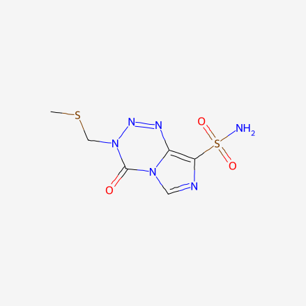 CSCn1nnc2c(S(N)(=O)=O)ncn2c1=O